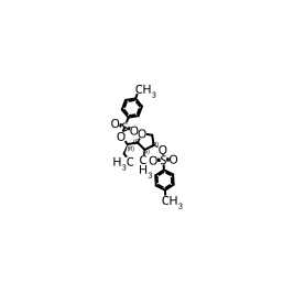 CC[C@@H](OS(=O)(=O)c1ccc(C)cc1)[C@H]1OC[C@H](OS(=O)(=O)c2ccc(C)cc2)[C@H]1C